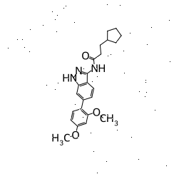 COc1ccc(-c2ccc3c(NC(=O)CCC4CCCC4)n[nH]c3c2)c(OC)c1